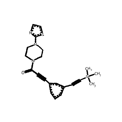 C[Si](C)(C)C#Cc1cccc(C#CC(=O)N2CCN(c3nccs3)CC2)c1